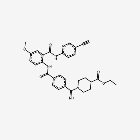 C#Cc1ccc(NC(=O)c2cc(OC)ccc2NC(=O)c2ccc(C(=N)N3CCC(C(=O)OCC)CC3)cc2)nc1